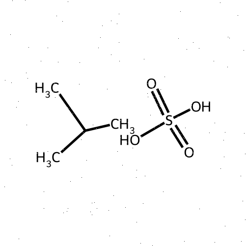 CC(C)C.O=S(=O)(O)O